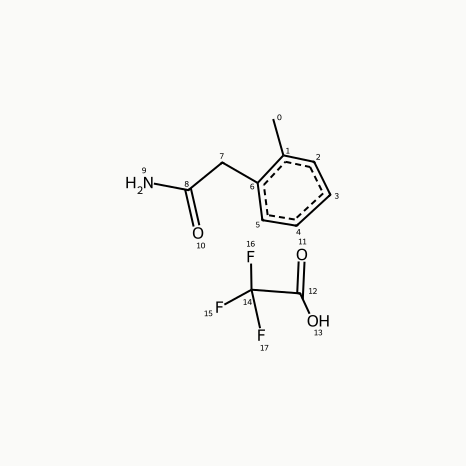 Cc1ccccc1CC(N)=O.O=C(O)C(F)(F)F